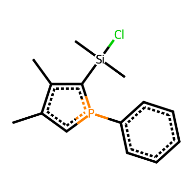 Cc1cp(-c2ccccc2)c([Si](C)(C)Cl)c1C